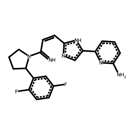 N=C(/C=C\c1ncc(-c2cccc(N)n2)[nH]1)N1CCCC1c1cc(F)ccc1F